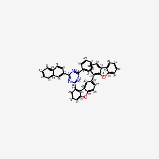 c1ccc(-c2nc(-c3ccc4ccccc4c3)nc(-c3cccc4oc5ccc(-c6cccc7c6oc6ccccc67)cc5c34)n2)cc1